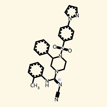 Cc1ccccc1N/C(=N\C#N)N1CCN(S(=O)(=O)c2ccc(-n3cccn3)cc2)C(c2ccccc2)C1